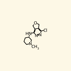 CN1CCC[C@@H](Nc2nnc(Cl)c3c2COC3)C1